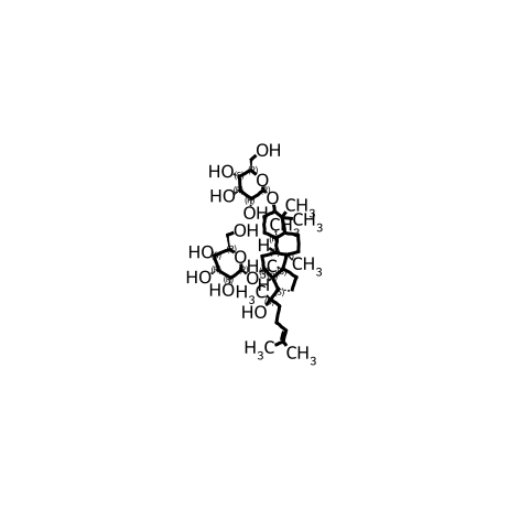 CC(C)=CCC[C@](C)(O)[C@H]1CC[C@@]2(C)[C@@H]1[C@H](O[C@@H]1O[C@H](CO)[C@@H](O)[C@@H](O)[C@H]1O)C[C@@H]1[C@@]3(C)CCC(O[C@@H]4O[C@H](CO)[C@@H](O)[C@@H](O)[C@H]4O)C(C)(C)C3CC[C@]12C